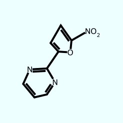 O=[N+]([O-])c1ccc(-c2ncccn2)o1